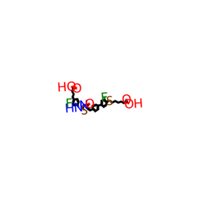 O=C(O)CCCCCSc1ccc(-c2ccc(C=C3SC(Nc4ccc(CCCC(=O)O)c(F)c4)=NC3=O)cc2)cc1F